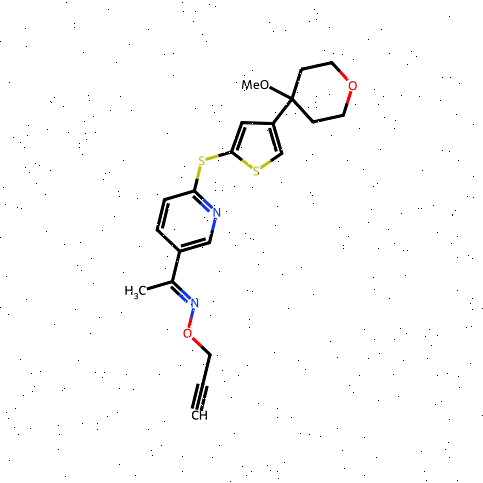 C#CCON=C(C)c1ccc(Sc2cc(C3(OC)CCOCC3)cs2)nc1